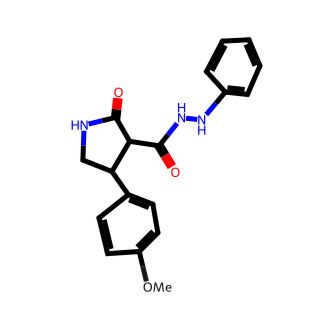 COc1ccc(C2CNC(=O)C2C(=O)NNc2ccccc2)cc1